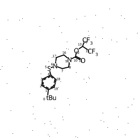 CC(C)(C)c1ccc(SN2CCN(C(=O)OC(C(F)(F)F)C(F)(F)F)CC2)cc1